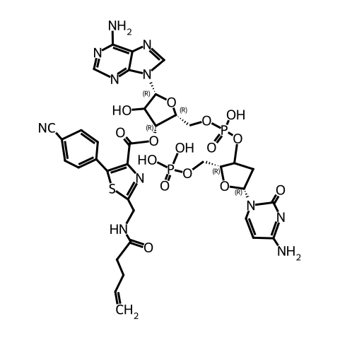 C=CCCC(=O)NCc1nc(C(=O)O[C@@H]2C(O)[C@H](n3cnc4c(N)ncnc43)O[C@@H]2COP(=O)(O)OC2C[C@H](n3ccc(N)nc3=O)O[C@@H]2COP(=O)(O)O)c(-c2ccc(C#N)cc2)s1